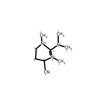 CN(C)C1=[N+](C)C(C#N)CCN1C